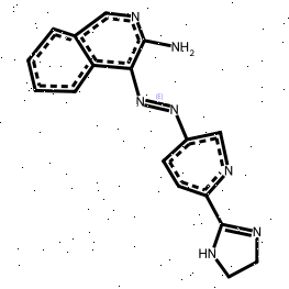 Nc1ncc2ccccc2c1/N=N/c1ccc(C2=NCCN2)nc1